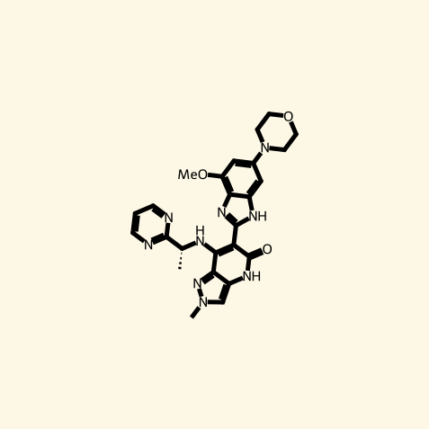 COc1cc(N2CCOCC2)cc2[nH]c(-c3c(N[C@H](C)c4ncccn4)c4nn(C)cc4[nH]c3=O)nc12